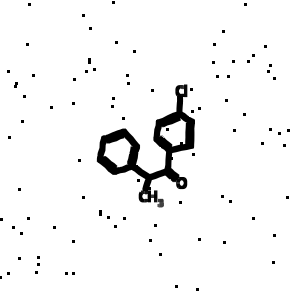 CC(C(=O)c1ccc(Cl)cc1)c1ccccc1